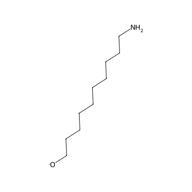 NCCCCCCCCCC[O]